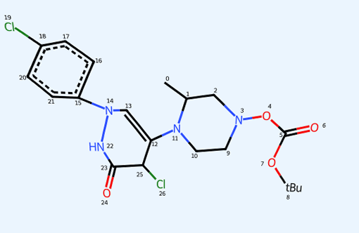 CC1CN(OC(=O)OC(C)(C)C)CCN1C1=CN(c2ccc(Cl)cc2)NC(=O)C1Cl